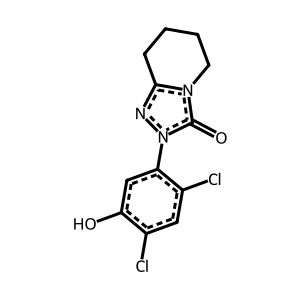 O=c1n(-c2cc(O)c(Cl)cc2Cl)nc2n1CCCC2